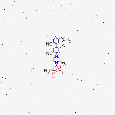 C=Cc1cc(-c2cc(C#N)c(N3CCN(C(=O)CC(C)(C)O)C(C4CC4)C3)nc2C2CC2)c(C#N)cn1